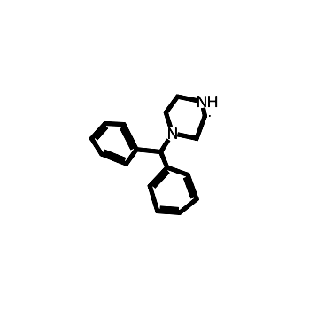 [CH]1CN(C(c2ccccc2)c2ccccc2)CCN1